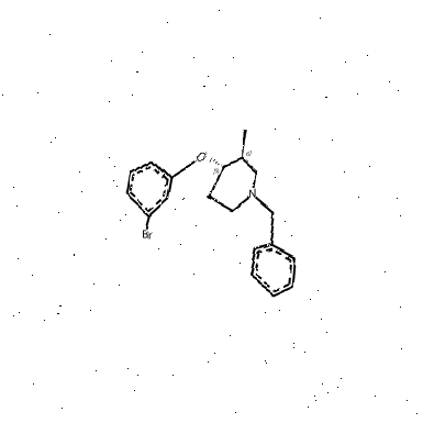 C[C@H]1CN(Cc2ccccc2)CC[C@@H]1Oc1cccc(Br)c1